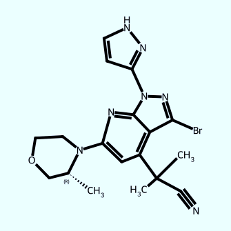 C[C@@H]1COCCN1c1cc(C(C)(C)C#N)c2c(Br)nn(-c3cc[nH]n3)c2n1